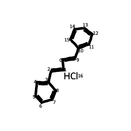 C(C=Cc1ccccc1)=Cc1ccccc1.Cl